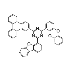 c1ccc2c(c1)Oc1cccc(-c3nc(-c4ccc5c6ccccc6c6ccccc6c5c4)nc(-c4cccc5c4oc4ccccc45)n3)c1O2